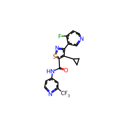 O=C(Nc1ccnc(C(F)(F)F)c1)c1snc(-c2cnccc2F)c1C1CC1